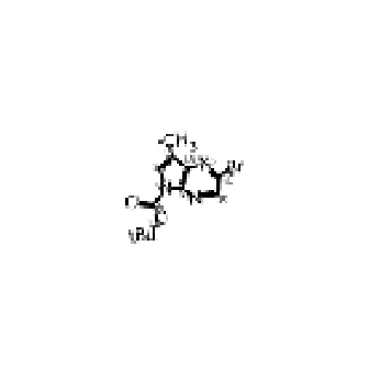 Cc1cn(C(=O)OC(C)(C)C)c2ncc(Br)nc12